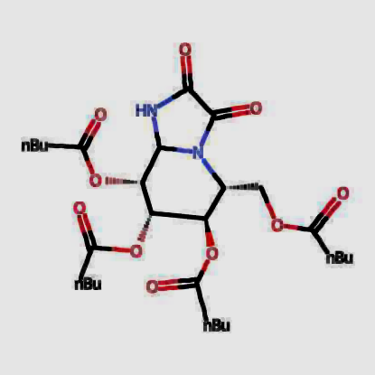 CCCCC(=O)OC[C@@H]1[C@@H](OC(=O)CCCC)[C@H](OC(=O)CCCC)[C@H](OC(=O)CCCC)C2NC(=O)C(=O)N21